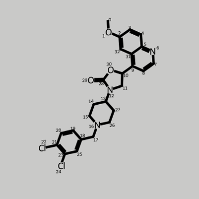 COc1ccc2nccc(C3CN(C4CCN(Cc5ccc(Cl)c(Cl)c5)CC4)C(=O)O3)c2c1